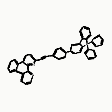 C(#Cc1ccc2c3ccccc3c3cccnc3c2n1)c1ccc(-c2ccc3c(c2)-c2ccccc2[Si]3(c2ccccc2)c2ccccc2)cc1